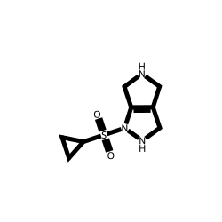 O=S(=O)(C1CC1)N1NCC2=C1CNC2